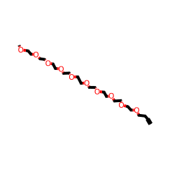 C#CCCOCCOCCOCCOCCOCCOCCOCCOCCOCCOC